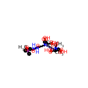 COCC[N+]1=C(/C=C/C=C/C=C/C=C2/N(CCCCCC(=O)NCCNC(=O)c3ccc(C(=O)OC)c(P(c4ccccc4)c4ccccc4)c3)c3ccc(S(=O)(=O)O)cc3C2(C)CCCS(=O)(=O)O)C(C)(CCCS(=O)(=O)O)c2cc(S(=O)(=O)O)ccc21